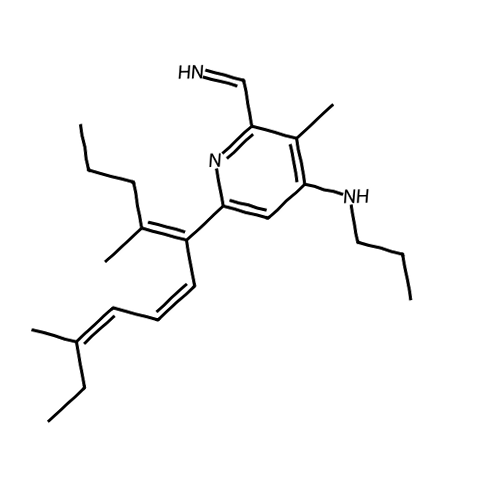 CCCNc1cc(C(/C=C\C=C(\C)CC)=C(/C)CCC)nc(C=N)c1C